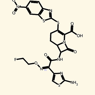 Nc1nc(/C(=N/OCCF)C(=O)NC2C(=O)N3C(C(=O)O)=C(Sc4nc5ccc([N+](=O)[O-])cc5s4)CCC23)cs1